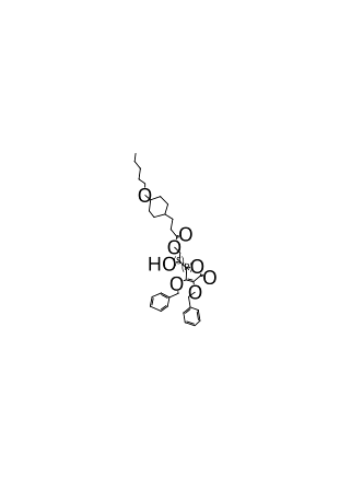 CCCCCOC1CCC(CCC(=O)OC[C@H](O)[C@H]2OC(=O)C(OCc3ccccc3)=C2OCc2ccccc2)CC1